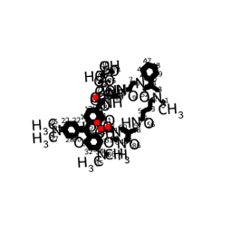 CCN(Cc1cn(CC(=O)NCCNC(=O)c2ccc(-c3c4ccc(=[N+](C)C)cc-4oc4cc(N(C)C)ccc34)c(C(=O)O)c2)c2ccccc12)C(=O)CCC(=O)NCc1cn(C2CC(O)C(COP(=O)(O)OP(=O)(O)OP(=O)(O)O)O2)c(=O)[nH]c1=O